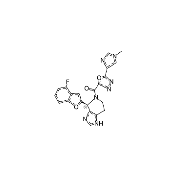 Cn1cnc(-c2nnc(C(=O)N3CCc4[nH]cnc4[C@H]3c3cc4c(F)cccc4o3)o2)c1